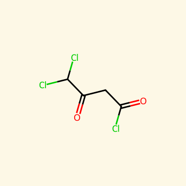 O=C(Cl)CC(=O)C(Cl)Cl